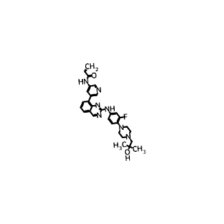 C=CC(=O)Nc1cncc(-c2cccc3cnc(Nc4ccc(N5CCN(CC(C)(C)O)CC5)c(F)c4)nc23)c1